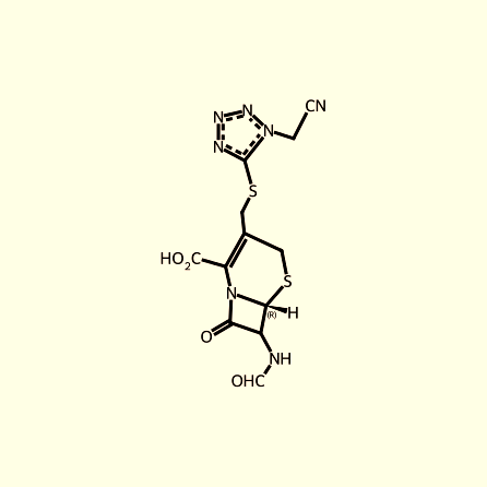 N#CCn1nnnc1SCC1=C(C(=O)O)N2C(=O)C(NC=O)[C@H]2SC1